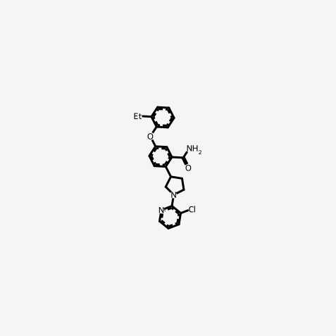 CCc1ccccc1Oc1ccc(C2CCN(c3ncccc3Cl)C2)c(C(N)=O)c1